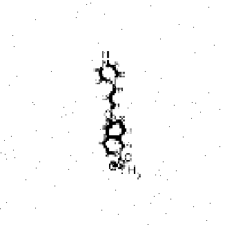 CS(=O)(=O)N1CCc2cc(OCCCN3CCNCC3)ccc2C1